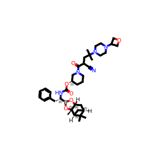 CC1(C)[C@@H]2C[C@H]3OB([C@H](Cc4ccccc4)NC(=O)O[C@H]4CCCN(C(=O)C(C#N)CC(C)(C)N5CCN(C6COC6)CC5)C4)O[C@@]3(C)[C@H]1C2